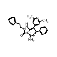 Cc1cc(-c2c(-c3ccccc3)nc(N)[n+]3c(=O)n(CCc4ccccc4)[nH]c23)cc(C)n1